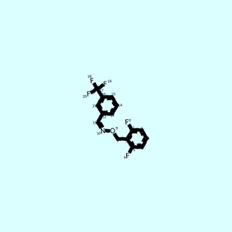 Fc1cccc(F)c1CO/N=[C]\c1cccc(C(F)(F)F)c1